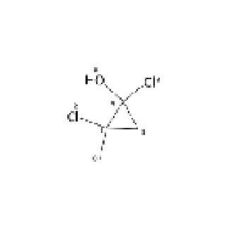 CC1(Cl)CC1(O)Cl